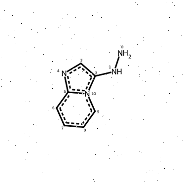 NNc1cnc2ccccn12